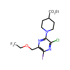 CCOC(=O)C1CCN(c2nc(COCC(F)(F)F)c(I)nc2Cl)CC1